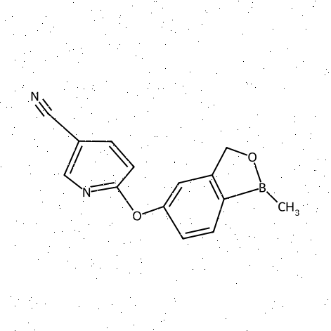 CB1OCc2cc(Oc3ccc(C#N)cn3)ccc21